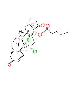 CCCCC(=O)O[C@@]1(C(C)=O)[C@@H](C)C[C@H]2[C@@H]3CCC4=CC(=O)C=C[C@]4(C)[C@@]3(Cl)[C@@H](Cl)C[C@@]21C